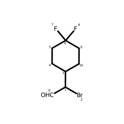 O=CC(Br)C1CCC(F)(F)CC1